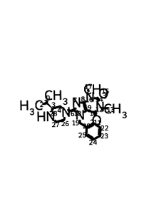 CC(C)[C@H]1CN(c2nc3c(c(=O)n(C)c(=O)n3C)n2Cc2ccccc2)CCN1